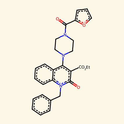 CCOC(=O)c1c(N2CCN(C(=O)c3ccco3)CC2)c2ccccc2n(Cc2ccccc2)c1=O